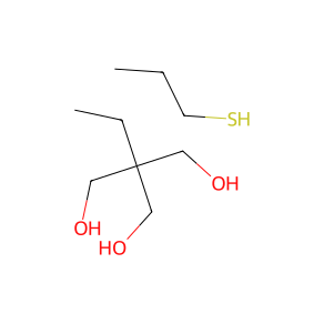 CCC(CO)(CO)CO.CCCS